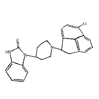 O=c1[nH]c2ccccc2n1C1CCN(C2Cc3cccc4c(Cl)ccc2c34)CC1